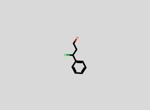 [O]CCC(Cl)c1ccccc1